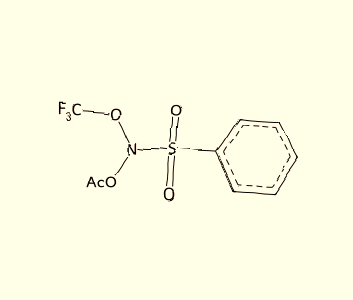 CC(=O)ON(OC(F)(F)F)S(=O)(=O)c1ccccc1